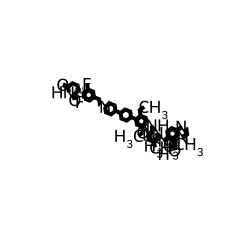 CCc1cc(Nc2ncc(C)c(Nc3ccc4nccnc4c3P(C)(C)=O)n2)c(OC)cc1C1CCC(C2CCN(CCc3cc(F)c([C@H]4CCC(=O)NC4=O)c(F)c3)CC2)CC1